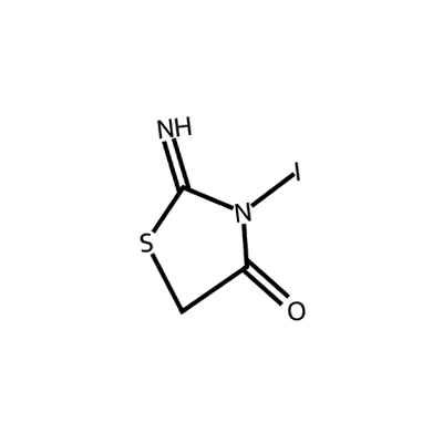 N=C1SCC(=O)N1I